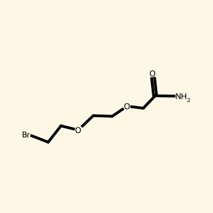 NC(=O)COCCOCCBr